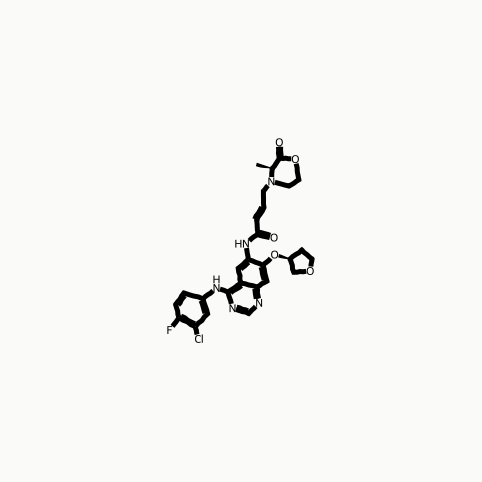 C[C@H]1C(=O)OCCN1C/C=C/C(=O)Nc1cc2c(Nc3ccc(F)c(Cl)c3)ncnc2cc1O[C@H]1CCOC1